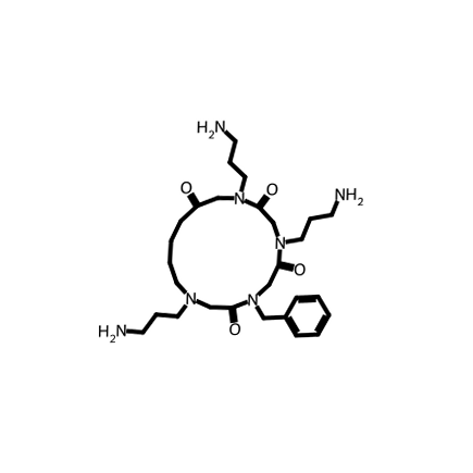 NCCCN1CCCCC(=O)CN(CCCN)C(=O)CN(CCCN)C(=O)CN(Cc2ccccc2)C(=O)C1